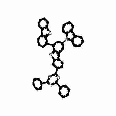 c1ccc(-c2nc(-c3ccccc3)nc(-c3ccc4c(c3)oc3c(-c5cccc6c5sc5ccccc56)cc(-n5c6ccccc6c6ccccc65)cc34)n2)cc1